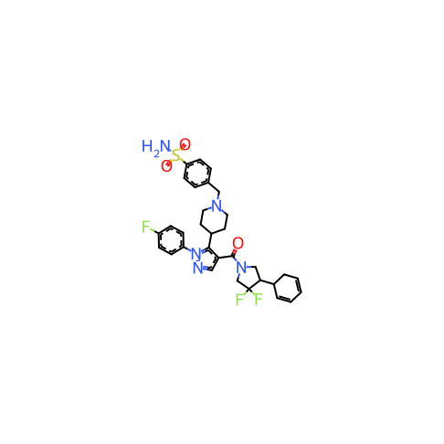 NS(=O)(=O)c1ccc(CN2CCC(c3c(C(=O)N4CC(C5C=CC=CC5)C(F)(F)C4)cnn3-c3ccc(F)cc3)CC2)cc1